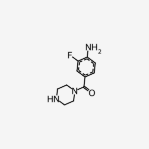 Nc1ccc(C(=O)N2CCNCC2)cc1F